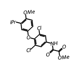 COC(=O)C(=O)Nc1cc(Cl)c(Oc2ccc(OC)c(C(C)C)c2)c(Cl)c1